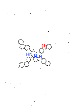 CC1(c2ccc3c(ccc4ccccc43)c2)N=C(c2cc3oc4ccccc4c3cc2-n2c3ccccc3c3cc4ccccc4cc32)N=C(c2ccc3c(ccc4ccccc43)c2)N1